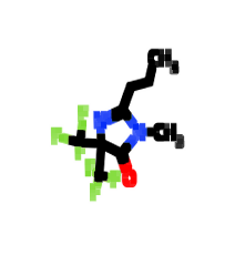 CCCC1=NC(C(F)(F)F)(C(F)(F)F)C(=O)N1C